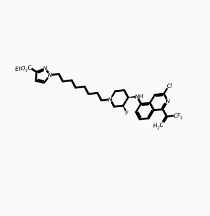 C=C(c1nc(Cl)cc2c(N[C@@H]3CCN(CCCCCCCCn4ccc(C(=O)OCC)n4)C[C@@H]3F)cccc12)C(F)(F)F